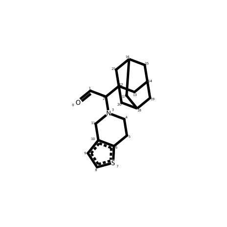 O=CC(N1CCc2sccc2C1)C12CC3CC(CC(C3)C1)C2